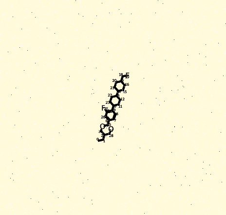 CCC1COC(c2ccc(C3CCC(C4CCC(CF)CC4)CC3)c(F)c2)OC1